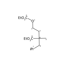 CCOC(=O)OCCC(C)(CC(C)C)C(=O)OCC